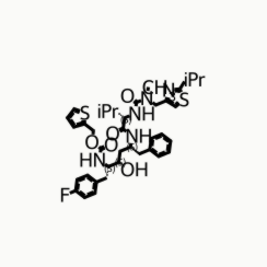 CC(C)c1nc(CN(C)C(=O)N[C@H](C(=O)N[C@@H](Cc2ccccc2)C[C@H](O)[C@H](Cc2ccc(F)cc2)NC(=O)OCc2cccs2)C(C)C)cs1